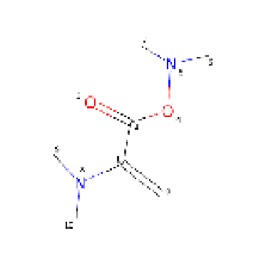 C=C(C(=O)ON(C)C)N(C)C